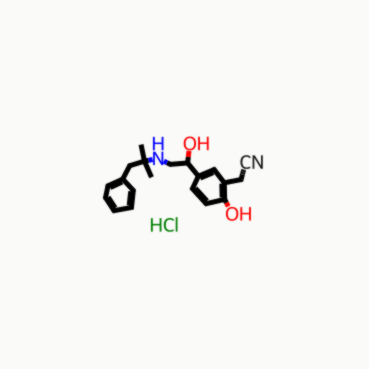 CC(C)(Cc1ccccc1)NCC(O)c1ccc(O)c(CC#N)c1.Cl